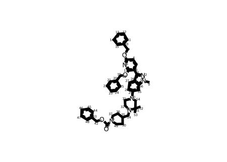 Cn1nc(-c2ccc(OCc3ccccc3)nc2OCc2ccccc2)c2ccc(N3CCN(CC4CCN(C(=O)OCc5ccccc5)CC4)C(C)(C)C3)cc21